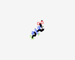 COC(=O)c1cccc(C2N(C)c3nnc(C(F)(F)F)cc3N2F)n1